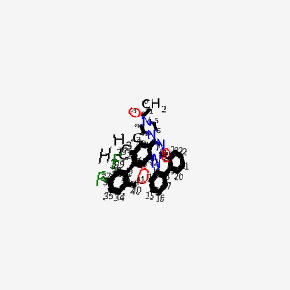 C=CC(=O)N1CCN(c2nc(=O)n(-c3ccccc3-c3ccccc3)c3c4c(c(C)cc23)-c2c(ccc(F)c2F)CO4)[C@@H](C)C1